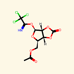 CC(=O)OC[C@H]1O[C@@H](OC(=N)C(Cl)(Cl)Cl)[C@@H]2OC(=O)O[C@@H]21